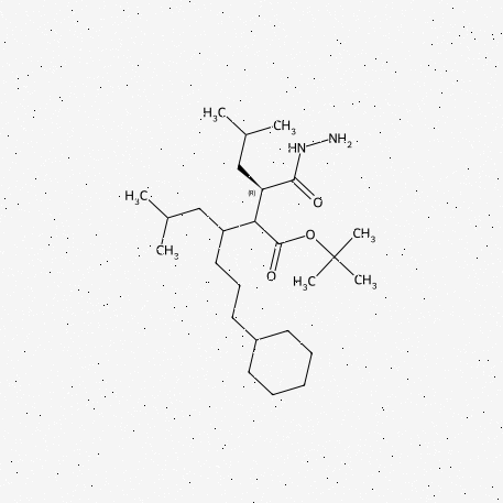 CC(C)CC(CCCC1CCCCC1)C(C(=O)OC(C)(C)C)[C@@H](CC(C)C)C(=O)NN